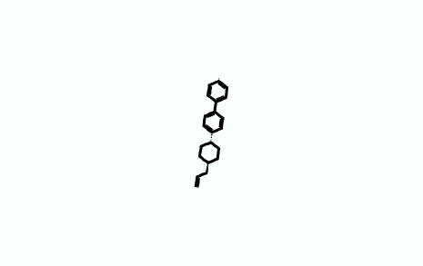 C=CC[C@H]1CC[C@H](c2ccc(-c3cc[c]cc3)cc2)CC1